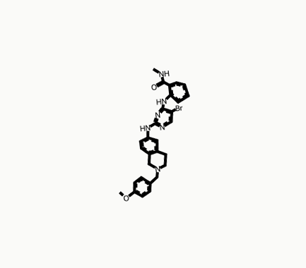 CNC(=O)c1ccccc1Nc1nc(Nc2ccc3c(c2)CCN(Cc2ccc(OC)cc2)C3)ncc1Br